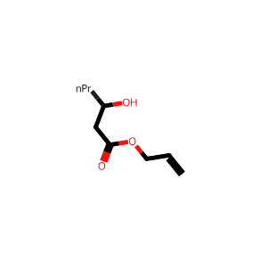 C=CCOC(=O)CC(O)CCC